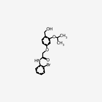 CC(C)Oc1cc(OCC(=O)Nc2ccccc2Br)ccc1CO